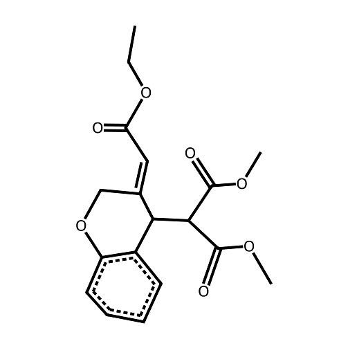 CCOC(=O)C=C1COc2ccccc2C1C(C(=O)OC)C(=O)OC